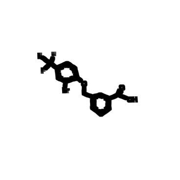 O=C(O)c1cccc(COc2ccc(C(F)(F)F)cc2Br)c1